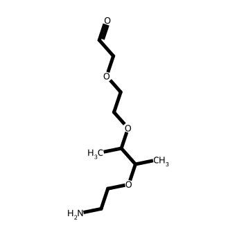 CC(OCCN)C(C)OCCOCC=O